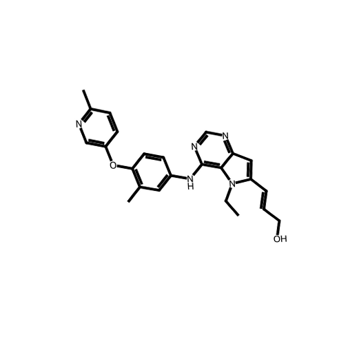 CCn1c(C=CCO)cc2ncnc(Nc3ccc(Oc4ccc(C)nc4)c(C)c3)c21